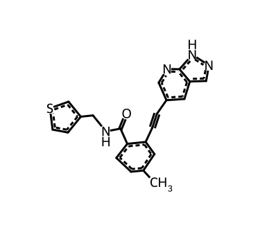 Cc1ccc(C(=O)NCc2ccsc2)c(C#Cc2cnc3[nH]ncc3c2)c1